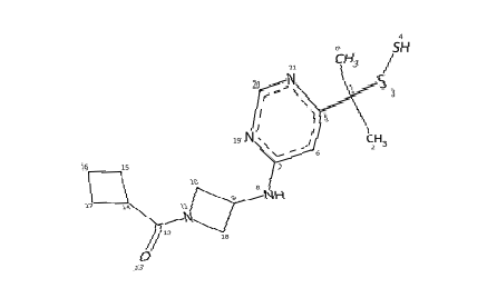 CC(C)(SS)c1cc(NC2CN(C(=O)C3CCC3)C2)ncn1